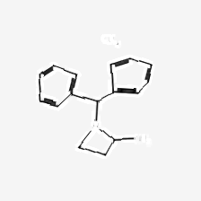 C.NC1CCN1C(c1ccccc1)c1ccccc1